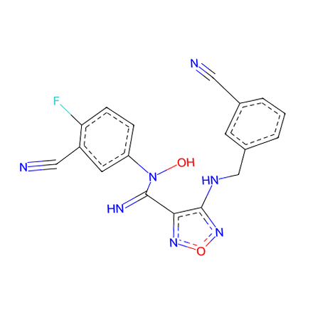 N#Cc1cccc(CNc2nonc2C(=N)N(O)c2ccc(F)c(C#N)c2)c1